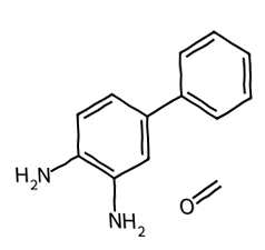 C=O.Nc1ccc(-c2ccccc2)cc1N